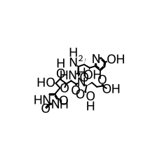 C[C@@H]([C@H](N)C(=O)N[C@H](C(=O)N[C@@H](CCC(=O)O)C(=O)O)C1OC(c2c[nH]c(=O)[nH]c2=O)C(O)C1O)[C@H](O)c1ccc(O)cn1